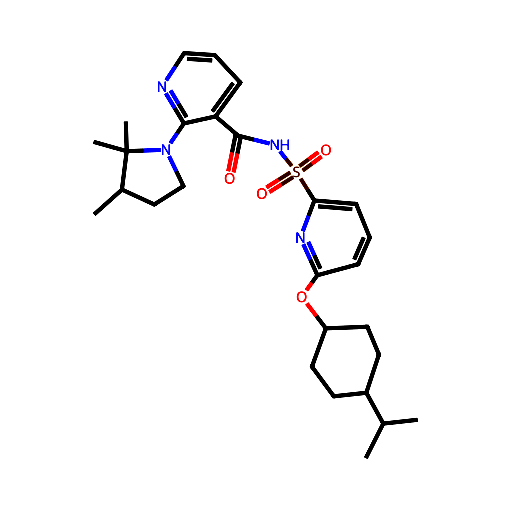 CC(C)C1CCC(Oc2cccc(S(=O)(=O)NC(=O)c3cccnc3N3CCC(C)C3(C)C)n2)CC1